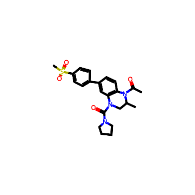 CC(=O)N1c2ccc(-c3ccc(S(C)(=O)=O)cc3)cc2N(C(=O)N2CCCC2)CC1C